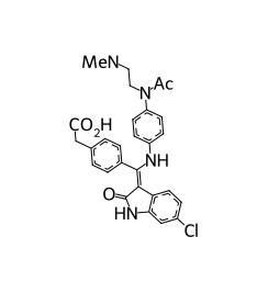 CNCCN(C(C)=O)c1ccc(NC(=C2C(=O)Nc3cc(Cl)ccc32)c2ccc(CC(=O)O)cc2)cc1